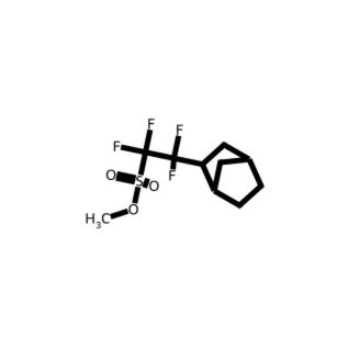 COS(=O)(=O)C(F)(F)C(F)(F)C1CC2CCC1C2